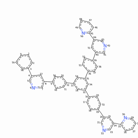 c1ccc(-c2cncc(-c3ccc(-c4cc(-c5ccc(-c6cncc(-c7ccccn7)c6)cc5)cc(-c5ccc(-c6cncc(-c7ccccn7)c6)cc5)c4)cc3)c2)cc1